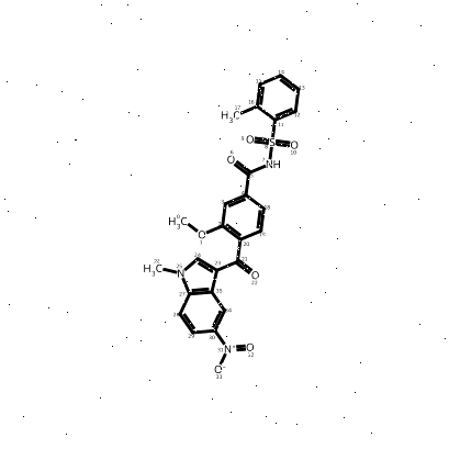 COc1cc(C(=O)NS(=O)(=O)c2ccccc2C)ccc1C(=O)c1cn(C)c2ccc([N+](=O)[O-])cc12